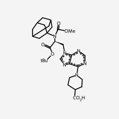 COC(=O)N([C@@H](Cn1cnc2c(N3CCC(C(=O)O)CC3)ncnc21)C(=O)OC(C)(C)C)C12CC3CC(CC(C3)C1)C2